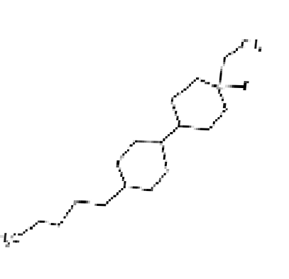 CCCCCC1CCC(C2CCC(F)(CC)CC2)CC1